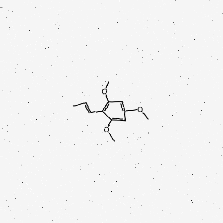 C/C=C/c1c(OC)cc(OC)cc1OC